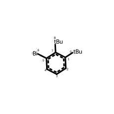 CC(C)(C)c1ccc[c]([Bi])c1C(C)(C)C